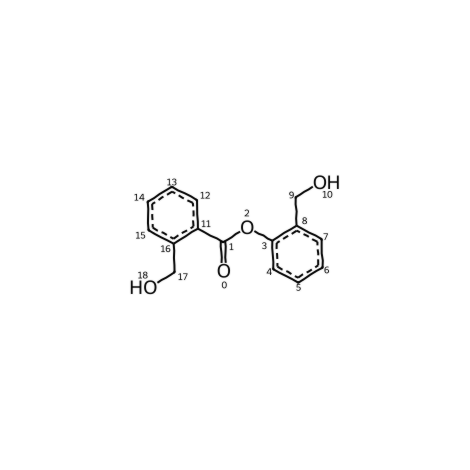 O=C(Oc1ccccc1CO)c1ccccc1CO